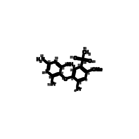 COc1cc(C(C)C)c(Oc2c(N)nc(N)nc2C(C)C)cc1S(C)(=O)=O